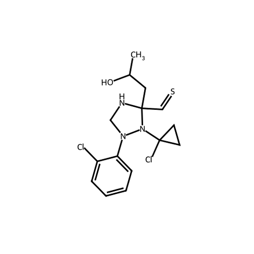 CC(O)CC1(C=S)NCN(c2ccccc2Cl)N1C1(Cl)CC1